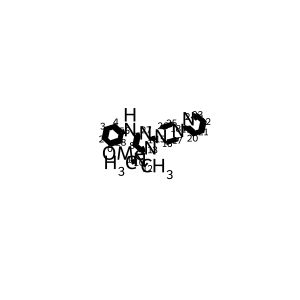 COc1cccc(Nc2cc(N(C)C)nc(N3CCN(c4ccccn4)CC3)n2)c1